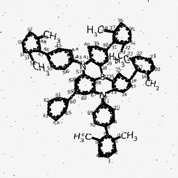 Cc1cccc(C)c1-c1ccc(N2c3ccc(-c4c(C)cccc4C)cc3B3c4cc(-c5c(C)cccc5C)ccc4N(c4ccc(-c5c(C)cccc5C)cc4)c4cc(-c5ccccc5)cc2c43)cc1